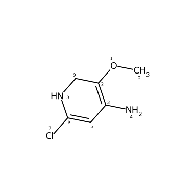 COC1=C(N)C=C(Cl)NC1